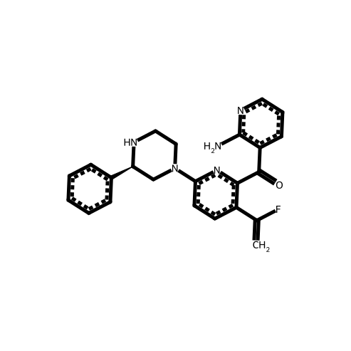 C=C(F)c1ccc(N2CCN[C@H](c3ccccc3)C2)nc1C(=O)c1cccnc1N